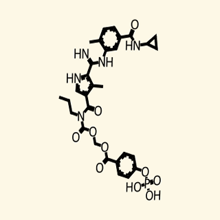 CCCN(C(=O)OCOC(=O)c1ccc(OP(=O)(O)O)cc1)C(=O)c1c[nH]c(C(=N)Nc2cc(C(=O)NC3CC3)ccc2C)c1C